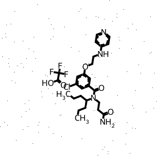 CCCC(CCC)N(CCC(N)=O)C(=O)c1cc(Cl)cc(OCCNc2ccncc2)c1.O=C(O)C(F)(F)F